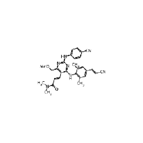 COCc1nc(Nc2ccc(C#N)cc2)nc(Nc2c(C)cc(/C=C/C#N)cc2C)c1/C=C/C(=O)N(C)C